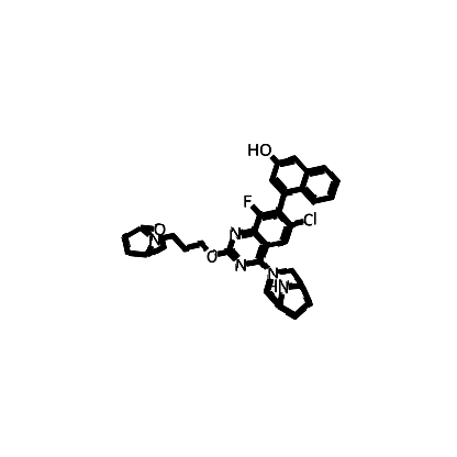 Oc1cc(-c2c(Cl)cc3c(N4CC5CCC(C4)N5)nc(OCCCN4C5CCC4OC5)nc3c2F)c2ccccc2c1